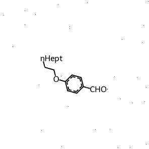 CCCCCCCCCOc1ccc([C]=O)cc1